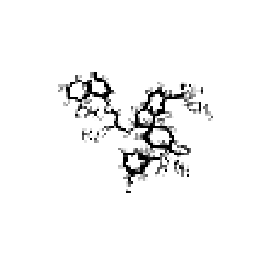 C[C@@H](COc1ccnc2c1[C@H](C)CCC2)C[C@H]1Cc2ccc([C@@H](C)O)cc2C12CCC(Nc1cccc(Cl)c1)(C(=O)O)CC2